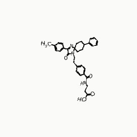 Cc1ccc(C2=NC3(CCC(c4ccccc4)CC3)N(CCc3ccc(C(=O)NCCC(=O)O)cc3)C2=O)cc1